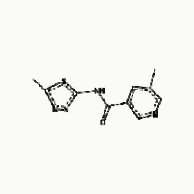 Cc1cncc(C(=O)Nc2nnc(C)s2)c1